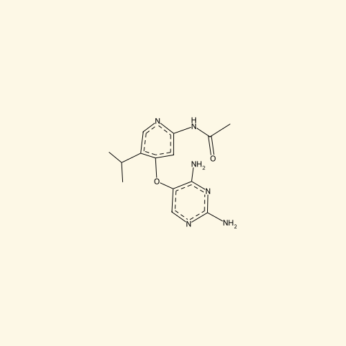 CC(=O)Nc1cc(Oc2cnc(N)nc2N)c(C(C)C)cn1